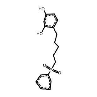 O=S(=O)(CCCCCc1ccc(O)cc1O)c1ccccc1